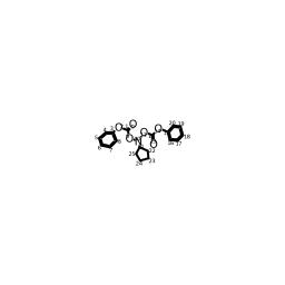 O=C(Oc1ccccc1)ON(OC(=O)Oc1ccccc1)C1CCCC1